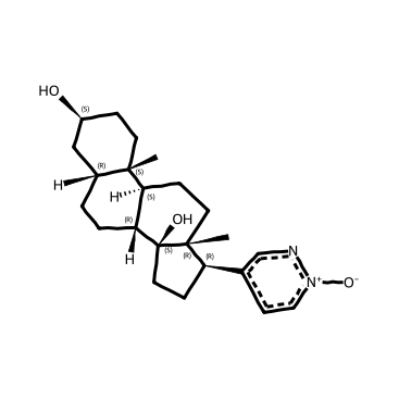 C[C@]12CC[C@H](O)C[C@H]1CC[C@@H]1[C@@H]2CC[C@]2(C)[C@@H](c3cc[n+]([O-])nc3)CC[C@]12O